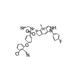 C[C@H]1C2=CNN(c3ccc(F)cc3)C2=CC2=C1[C@@H](CN(CC#N)S(=O)(=O)c1ccc(Oc3cccc(Cl)c3C#N)cc1)CC2